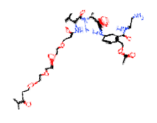 CC(=O)OCc1ccc(NC(=O)[C@H](C)NC(=O)[C@@H](NC(=O)CCOCCOCCOCCOCCC(=O)C(C)C)C(C)C)cc1C(=O)NCCN